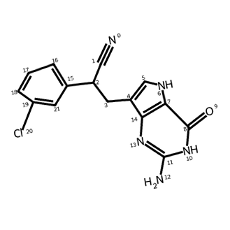 N#CC(Cc1c[nH]c2c(=O)[nH]c(N)nc12)c1cccc(Cl)c1